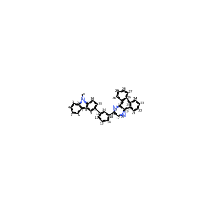 Cn1c2ccccc2c2cc(-c3cccc(-c4cnc5c6ccccc6c6ccccc6c5n4)c3)ccc21